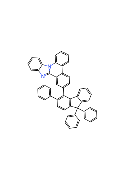 c1ccc(-c2ccc3c(c2-c2ccc4c5ccccc5n5c6ccccc6nc5c4c2)-c2ccccc2C3(c2ccccc2)c2ccccc2)cc1